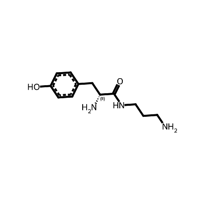 NCCCNC(=O)[C@H](N)Cc1ccc(O)cc1